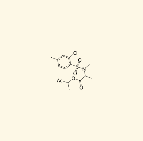 CC(=O)C(C)OC(=O)C(C)N(C)S(=O)(=O)c1ccc(C)cc1Cl